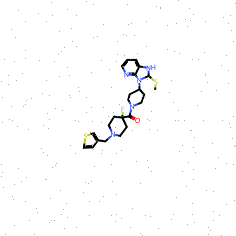 CSC1Nc2cccnc2N1C1CCN(C(=O)C2(F)CCN(Cc3ccsc3)CC2)CC1